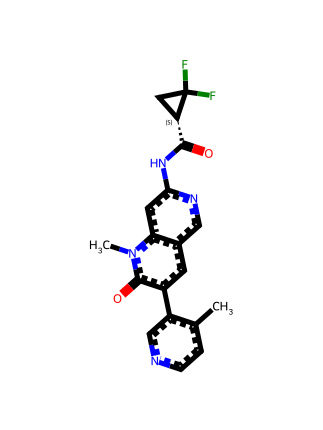 Cc1ccncc1-c1cc2cnc(NC(=O)[C@@H]3CC3(F)F)cc2n(C)c1=O